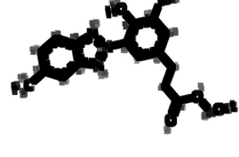 CCCCCCCCOC(=O)CCc1cc(-n2nc3ccc(C(F)(F)F)cc3n2)c(O)c(C(C)(C)C)c1